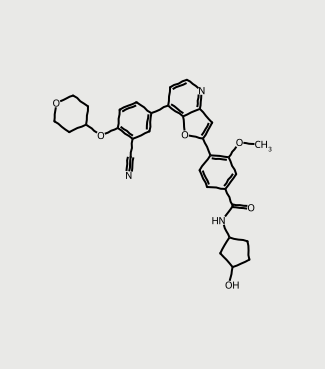 COc1cc(C(=O)NC2CCC(O)C2)ccc1-c1cc2nccc(-c3ccc(OC4CCOCC4)c(C#N)c3)c2o1